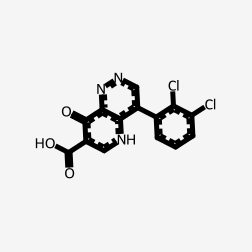 O=C(O)c1c[nH]c2c(-c3cccc(Cl)c3Cl)cnnc2c1=O